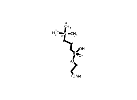 COCCOP(=O)(O)CCC[N+](C)(C)C